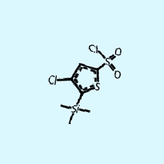 C[Si](C)(C)c1sc(S(=O)(=O)Cl)cc1Cl